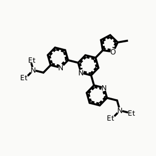 CCN(CC)Cc1cccc(-c2cc(-c3ccc(C)o3)cc(-c3cccc(CN(CC)CC)n3)n2)n1